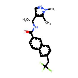 Cc1c([C@@H](C)NC(=O)c2ccc3cc(CC(F)(F)F)ccc3c2)cnn1C